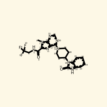 Cn1c(C(=O)NCC(F)(F)F)nc2c(N3CCC(n4c(=O)[nH]c5ccccc54)CC3)ncnc21